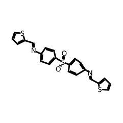 O=S(=O)(c1ccc(N=Cc2cccs2)cc1)c1ccc(N=Cc2cccs2)cc1